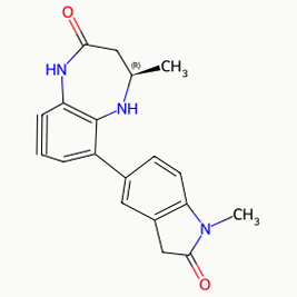 C[C@@H]1CC(=O)Nc2c#ccc(-c3ccc4c(c3)CC(=O)N4C)c2N1